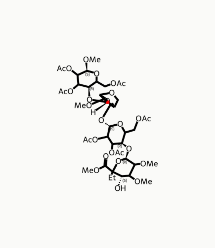 CCC1(C(=O)OC)O[C@@H](O[C@@H]2C(COC(C)=O)O[C@@H](OC3=C4COC(C3OC)[C@H](O[C@@H]3C(COC(C)=O)O[C@H](OC)C(OC(C)=O)C3OC(C)=O)O4)C(OC(C)=O)C2OC(C)=O)C(OC)C(OC)[C@@H]1O